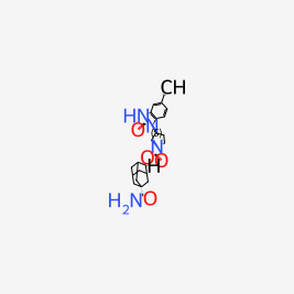 C#Cc1ccc2c(c1)[nH]c(=O)n2[C@H]1CCN(C(=O)O[C@H]2C3CC4CC2C[C@](C(N)=O)(C4)C3)C1